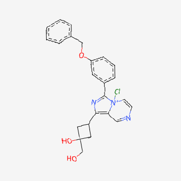 OCC1(O)CC(C2=C3C=NC=C[N+]3(Cl)C(c3cccc(OCc4ccccc4)c3)=N2)C1